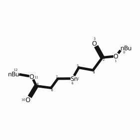 CCCCOC(=O)C[CH2][Sn][CH2]CC(=O)OCCCC